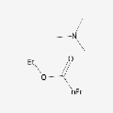 CCCC(=O)OCC.CN(C)C